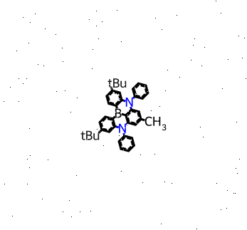 Cc1cc2c3c(c1)N(c1ccccc1)c1cc(C(C)(C)C)ccc1B3c1ccc(C(C)(C)C)cc1N2c1ccccc1